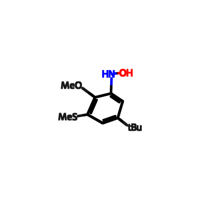 COc1c(NO)cc(C(C)(C)C)cc1SC